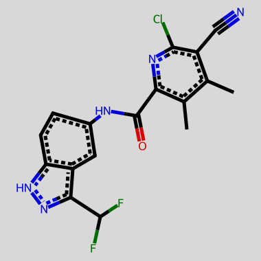 Cc1c(C(=O)Nc2ccc3[nH]nc(C(F)F)c3c2)nc(Cl)c(C#N)c1C